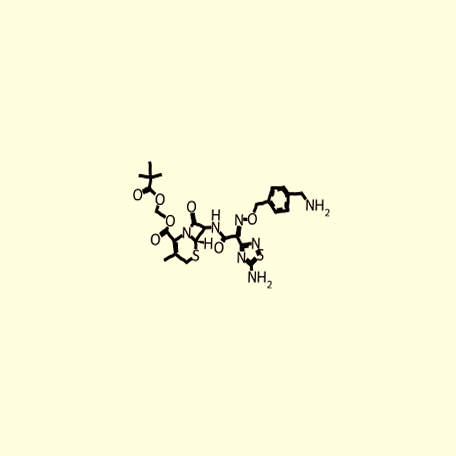 CC1=C(C(=O)OCOC(=O)C(C)(C)C)N2C(=O)C(NC(=O)C(=NOCc3ccc(CN)cc3)c3nsc(N)n3)[C@@H]2SC1